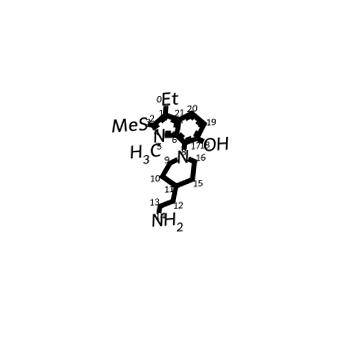 CCc1c(SC)n(C)c2c(N3CCC(CCN)CC3)c(O)ccc12